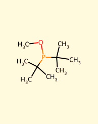 COP(C(C)(C)C)C(C)(C)C